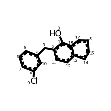 Oc1c(Cc2cccc(Cl)c2)ccc2ccccc12